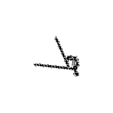 COCCOCCOCCOCCOCCOCCOCCOCCCN(CCCc1cc(NC(=O)[C@H](C)NC(=O)[C@@H](NC(=O)CN2C(=O)C=CC2=O)C(C)C)ccc1COC(=O)C(C)(C)C)CCOCCOCCOCCOCCOCCOCCOCCOC